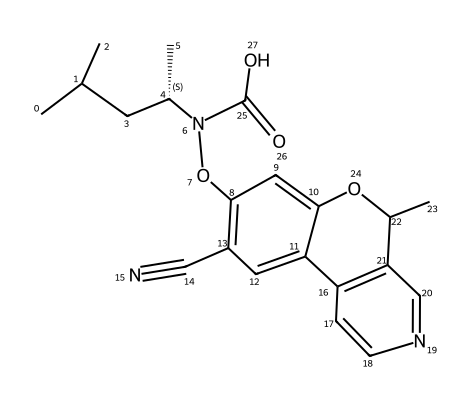 CC(C)C[C@H](C)N(Oc1cc2c(cc1C#N)-c1ccncc1C(C)O2)C(=O)O